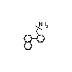 CC(C)(N)Cc1ccccc1-c1cccc2ccccc12